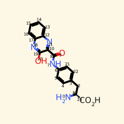 N[C@@H](Cc1ccc(NC(=O)c2nc3ccccc3nc2O)cc1)C(=O)O